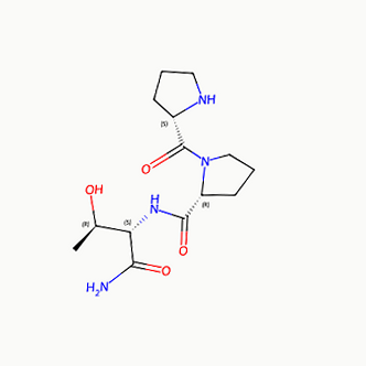 C[C@@H](O)[C@H](NC(=O)[C@H]1CCCN1C(=O)[C@@H]1CCCN1)C(N)=O